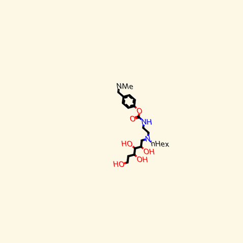 CCCCCCN(CCNC(=O)Oc1ccc(CNC)cc1)CC(O)C(O)C(O)CCO